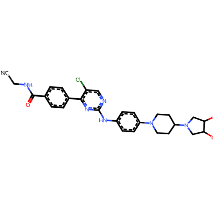 N#CCNC(=O)c1ccc(-c2nc(Nc3ccc(N4CCC(N5CC6OCCOC6C5)CC4)cc3)ncc2Cl)cc1